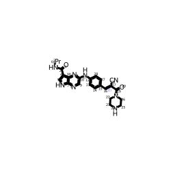 CC(C)NC(=O)c1c[nH]c2ncc(Nc3ccc(/C=C(\C#N)C(=O)N4CCNCC4)cc3)nc12